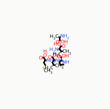 CC(C)C[C@H](N)C(=O)O.CC(C)[C@H](N)C(=O)O.CSCC[C@H](N)C(=O)O.C[C@H](N)C(=O)O.O=C(O)[C@@H]1CCCN1